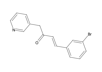 O=C(C=Cc1cccc(Br)c1)Cc1cccnc1